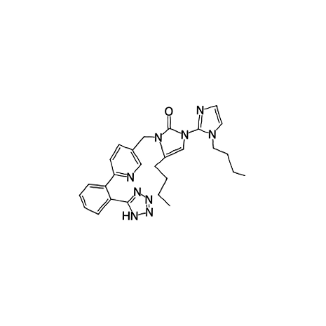 CCCCc1cn(-c2nccn2CCCC)c(=O)n1Cc1ccc(-c2ccccc2-c2nnn[nH]2)nc1